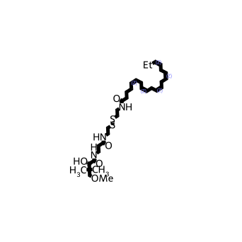 CC/C=C\C/C=C\C/C=C\C/C=C\C/C=C\CCCC(=O)NCCSSCCNC(=O)CCNC(=O)[C@H](O)C(C)(C)COC